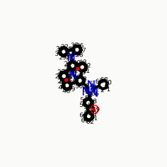 C1=CCC(c2nc(-c3cc(-c4ccccc4)c(-n4c5ccccc5c5cc(-n6c7ccccc7c7ccccc76)ccc54)c(-c4ccccc4)c3)nc(-c3ccc4c(c3)oc3ccccc34)n2)C=C1